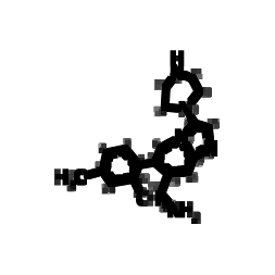 Cc1ccc(-c2cn3c(N4CCNCC4)cnc3cc2CN)c(C)c1